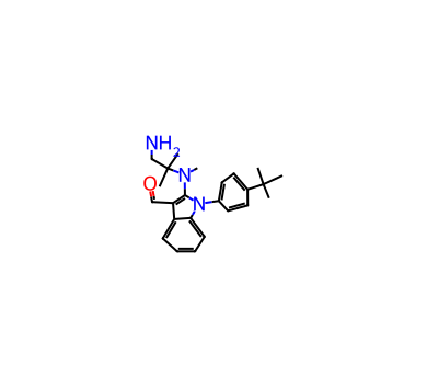 CN(c1c(C=O)c2ccccc2n1-c1ccc(C(C)(C)C)cc1)C(C)(C)CN